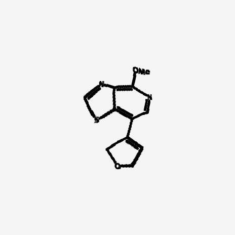 COc1ncc(C2=CCOC2)c2scnc12